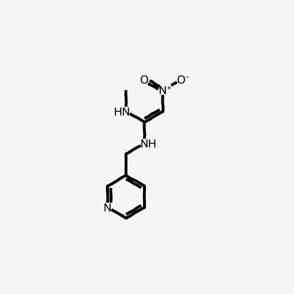 CNC(=C[N+](=O)[O-])NCc1cccnc1